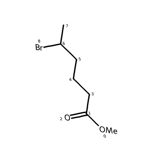 COC(=O)CCCC(C)Br